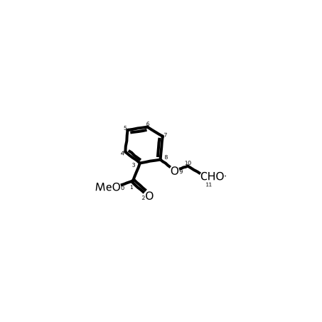 COC(=O)c1ccccc1OC[C]=O